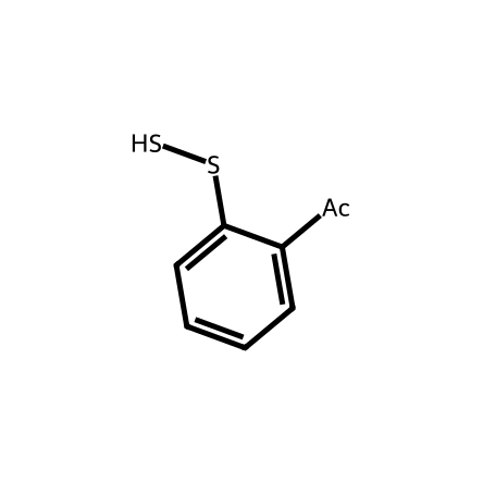 CC(=O)c1ccccc1SS